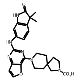 CC1(C)C(=O)Nc2cc(Nc3nc(N4CCC5(CCN(C(=O)O)C5)CC4)c4occc4n3)ccc21